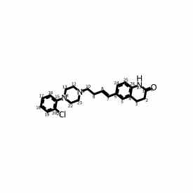 O=C1CCc2cc(/C=C/CCN3CCN(c4ccccc4Cl)CC3)ccc2N1